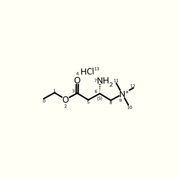 CCOC(=O)C[C@H](N)C[N+](C)(C)C.Cl